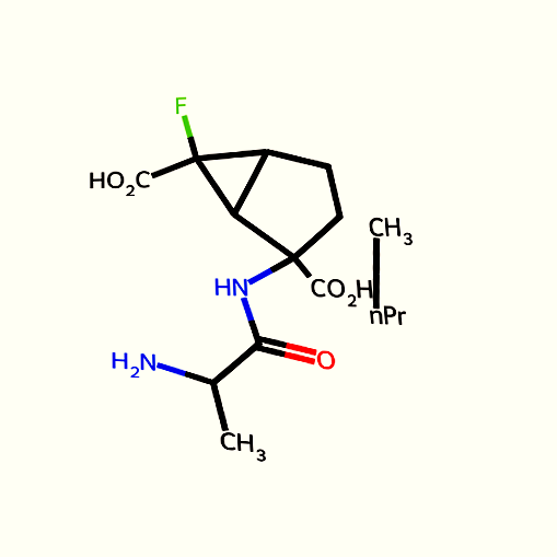 CC(N)C(=O)NC1(C(=O)O)CCC2C1C2(F)C(=O)O.CCCC